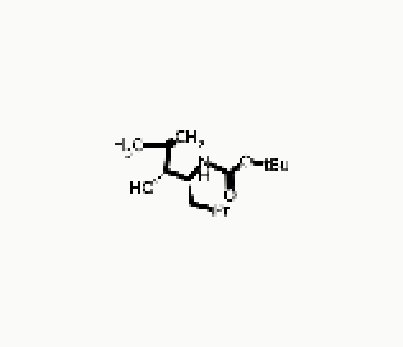 C=C(C)[C@@H](O)[C@H](CC(C)C)NC(=O)OC(C)(C)C